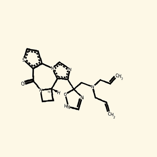 C=CCN(CC=C)CC1(c2ncn3c2[C@@H]2CCN2C(=O)c2sccc2-3)N=CNO1